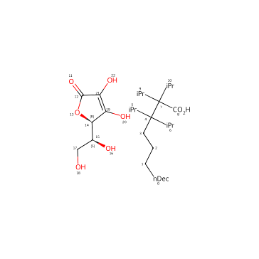 CCCCCCCCCCCCCC(C(C)C)(C(C)C)C(C(=O)O)(C(C)C)C(C)C.O=C1O[C@H]([C@@H](O)CO)C(O)=C1O